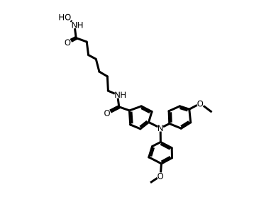 COc1ccc(N(c2ccc(OC)cc2)c2ccc(C(=O)NCCCCCCC(=O)NO)cc2)cc1